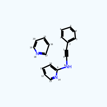 C(#Cc1ccccc1)Nc1ccccn1.c1ccncc1